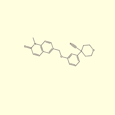 Cn1c(=O)ccc2cc(COc3cccc(C4(C#N)CCOCC4)c3)ccc21